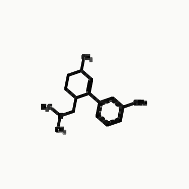 COc1cccc(C2=CC(C)CCC2CN(C)C)c1